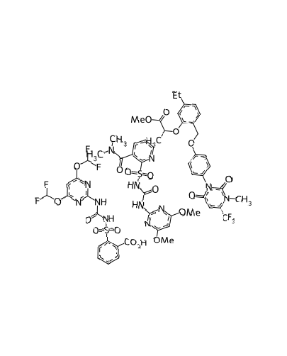 CCc1ccc(COc2ccc(-n3c(=O)cc(C(F)(F)F)n(C)c3=O)cc2)c(OC(C)C(=O)OC)c1.COc1cc(OC)nc(NC(=O)NS(=O)(=O)c2ncccc2C(=O)N(C)C)n1.O=C(Nc1nc(OC(F)F)cc(OC(F)F)n1)NS(=O)(=O)c1ccccc1C(=O)O